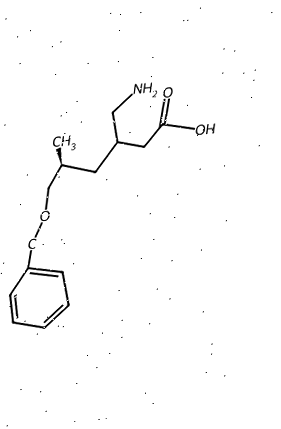 C[C@H](COCc1ccccc1)CC(CN)CC(=O)O